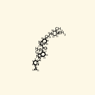 Cc1nn(Cc2cccc(C3CC3)n2)c2cccc(NC(=O)c3cnc4cc(OCCN5CCN(C)[C@H](C)C5)ccn34)c12